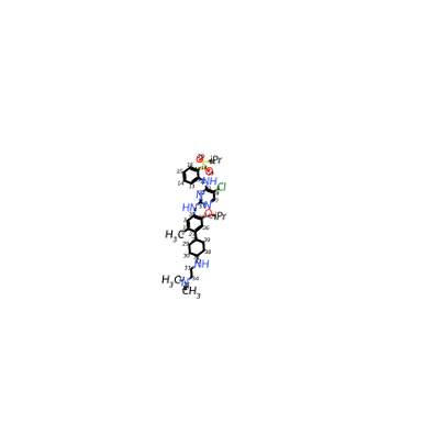 Cc1cc(Nc2ncc(Cl)c(Nc3ccccc3S(=O)(=O)C(C)C)n2)c(OC(C)C)cc1C1CCC(NCCN(C)C)CC1